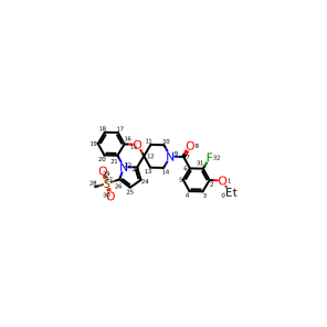 CCOc1cccc(C(=O)N2CCC3(CC2)Oc2ccccc2-n2c3ccc2S(C)(=O)=O)c1F